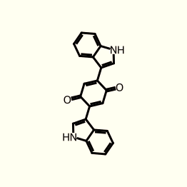 O=C1C=C(c2c[nH]c3ccccc23)C(=O)C=C1c1c[nH]c2ccccc12